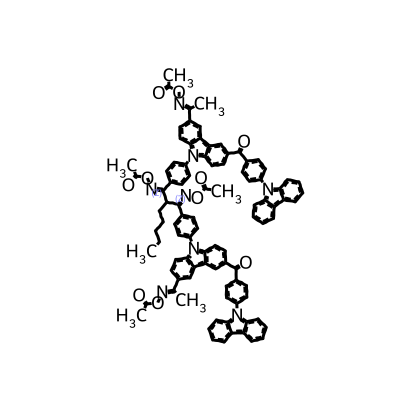 CCCCCC(/C(=N/OC(C)=O)c1ccc(-n2c3ccc(C(=O)c4ccc(-n5c6ccccc6c6ccccc65)cc4)cc3c3cc(C(C)=NOC(C)=O)ccc32)cc1)/C(=N/OC(C)=O)c1ccc(-n2c3ccc(C(=O)c4ccc(-n5c6ccccc6c6ccccc65)cc4)cc3c3cc(C(C)=NOC(C)=O)ccc32)cc1